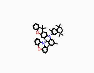 Cc1cc2c3c(c1)N(c1cc4c(cc1C)C(C)(C)CCC4(C)C)c1cc4c(cc1B3N1c3ccccc3Oc3cccc-2c31)Oc1ccccc1C4(C)C